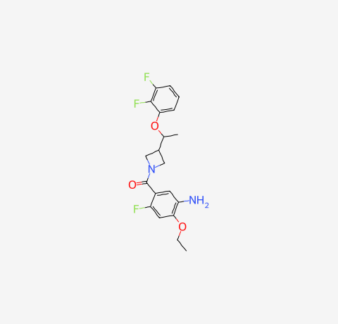 CCOc1cc(F)c(C(=O)N2CC(C(C)Oc3cccc(F)c3F)C2)cc1N